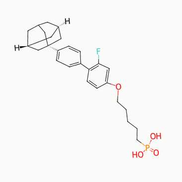 O=P(O)(O)CCCCCOc1ccc(-c2ccc([C@]34CC5C[C@H](C[C@@H](C5)C3)C4)cc2)c(F)c1